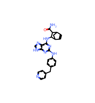 NC(=O)C1C2C#CC(C2)C1Nc1nc(Nc2ccc(Cc3ccncc3)cc2)nc2[nH]cnc12